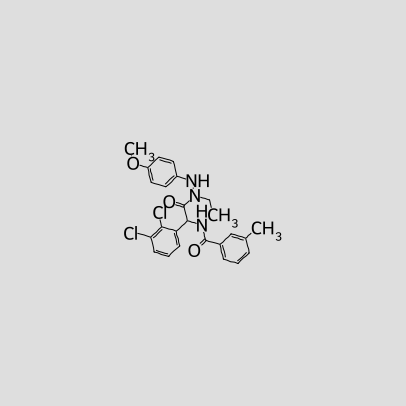 CCN(Nc1ccc(OC)cc1)C(=O)C(NC(=O)c1cccc(C)c1)c1cccc(Cl)c1Cl